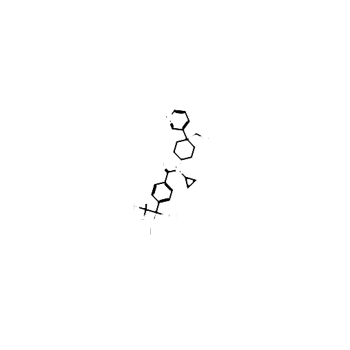 C[C@](O)(c1ccc(C(=O)N(C2CC2)[C@H]2CC[C@@](CO)(c3cccnc3)CC2)cc1)C(F)(F)F